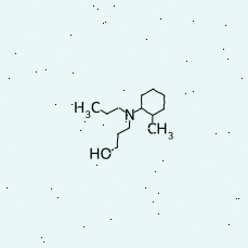 CCCN(CCCO)C1CCCCC1C